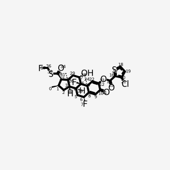 C[C@@H]1C[C@H]2[C@@H]3C[C@@H](F)C4=CC(=O)C(OC(=O)c5sccc5Cl)=C[C@]4(C)[C@@]3(F)[C@@H](O)C[C@]2(C)[C@@H]1C(=O)SCF